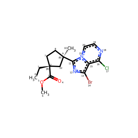 CC[C@@]1(C(=O)OC)CC[C@@](C)(c2nc(Br)c3c(Cl)nccn23)C1